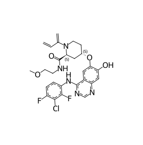 C=CC(=C)N1CC[C@H](Oc2cc3c(Nc4ccc(F)c(Cl)c4F)ncnc3cc2O)C[C@H]1C(=O)NCCOC